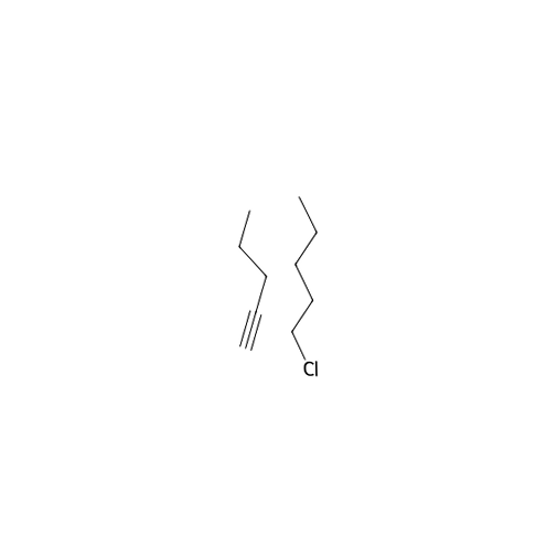 C#CCCC.CCCCCCl